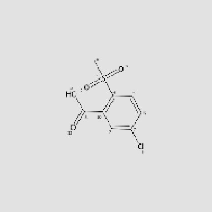 CS(=O)(=O)c1ccc(Cl)cc1C(=O)O